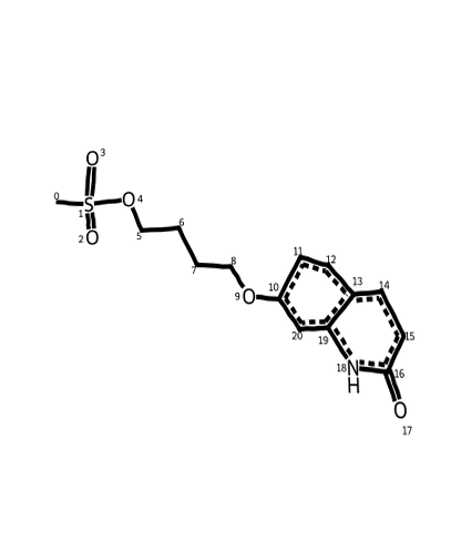 CS(=O)(=O)OCCCCOc1ccc2ccc(=O)[nH]c2c1